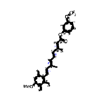 COc1cc(C)c(/C=C/C(C)=C/C=C/C(C)=C/C(=O)Oc2cccc(OC(F)(F)F)c2)c(C)c1C